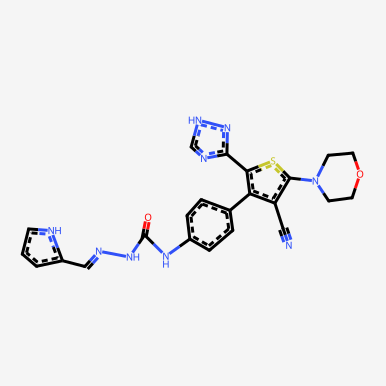 N#Cc1c(N2CCOCC2)sc(-c2nc[nH]n2)c1-c1ccc(NC(=O)N/N=C/c2ccc[nH]2)cc1